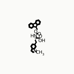 Cn1ccc2ccc(CC[C@H](NC(=O)OCC3c4ccccc4-c4ccccc43)C(=O)O)cc21